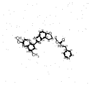 COc1cnc2c(-c3nc4ccc5c(c4s3)C[C@@H](COC(=O)NCc3ccncc3)O5)cc(C)cc2n1